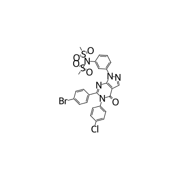 CS(=O)(=O)N(c1cccc(-n2ncc3c(=O)n(-c4ccc(Cl)cc4)c(-c4ccc(Br)cc4)nc32)c1)S(C)(=O)=O